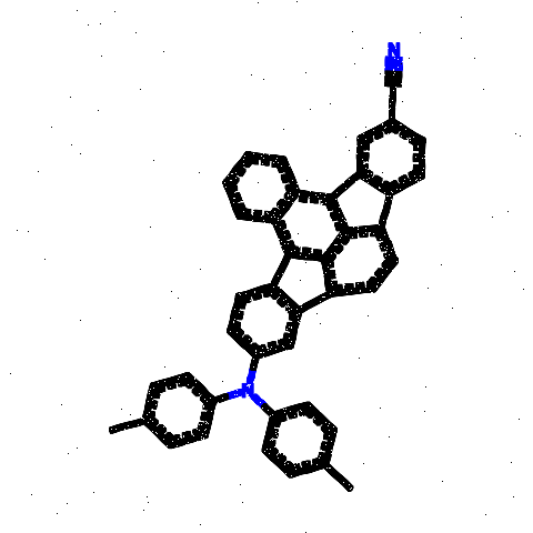 Cc1ccc(N(c2ccc(C)cc2)c2ccc3c(c2)-c2ccc4c5c(c6ccccc6c-3c25)-c2cc(C#N)ccc2-4)cc1